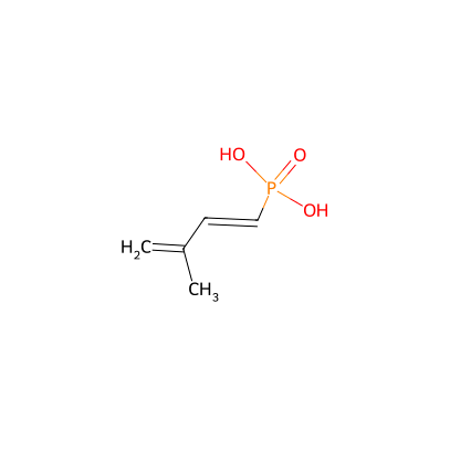 C=C(C)C=CP(=O)(O)O